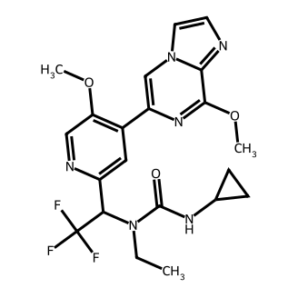 CCN(C(=O)NC1CC1)C(c1cc(-c2cn3ccnc3c(OC)n2)c(OC)cn1)C(F)(F)F